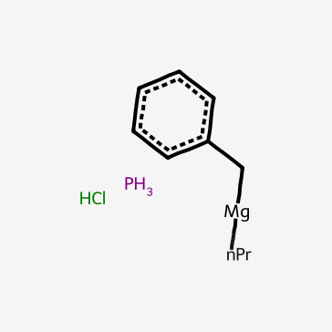 CC[CH2][Mg][CH2]c1ccccc1.Cl.P